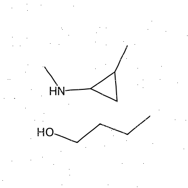 CCCCO.CNC1CC1C